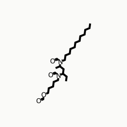 CCCCCCCCCCCCN(C=O)C(C)CC(CC)N(C=O)CCCCCOC=O